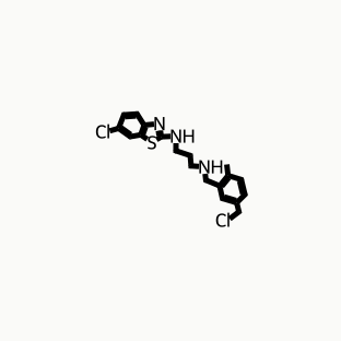 Cc1ccc(CCl)cc1CNCCCNc1nc2ccc(Cl)cc2s1